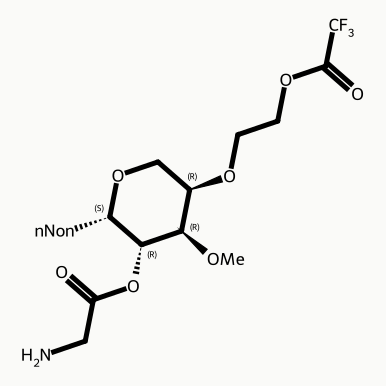 CCCCCCCCC[C@@H]1OC[C@@H](OCCOC(=O)C(F)(F)F)[C@@H](OC)[C@@H]1OC(=O)CN